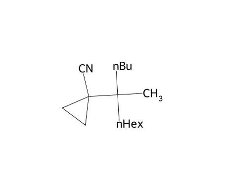 CCCCCCC(C)(CCCC)C1(C#N)CC1